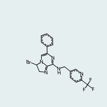 FC(F)(F)c1ccc(CNC2=NC(c3ccccc3)=CN3C2=NCC3Br)cn1